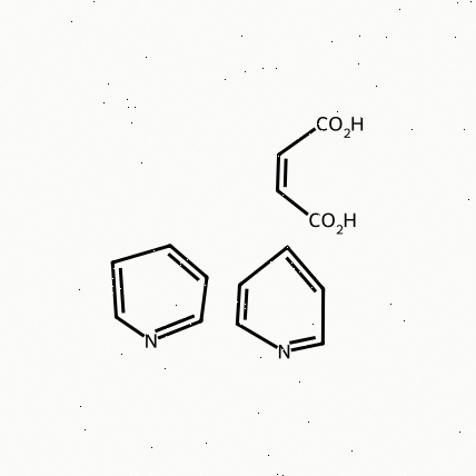 O=C(O)/C=C\C(=O)O.c1ccncc1.c1ccncc1